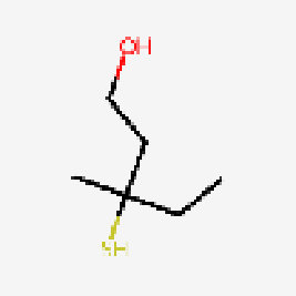 CCC(C)(S)CCO